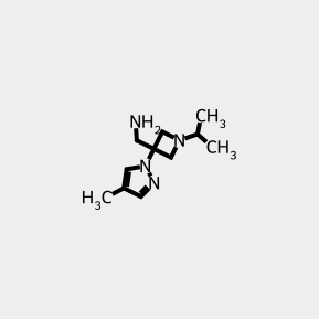 Cc1cnn(C2(CN)CN(C(C)C)C2)c1